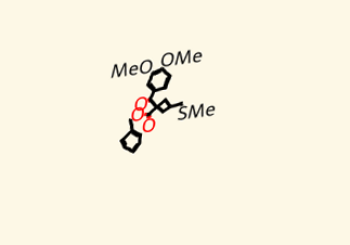 COc1ccc(C(=O)C2(C(=O)OCc3ccccc3)CC(CSC)C2)cc1OC